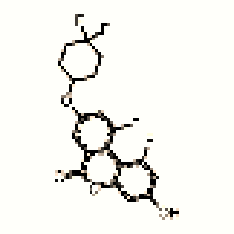 O=c1oc2cc(O)cc(F)c2c2c(F)cc(OC3CCC(F)(F)CC3)cc12